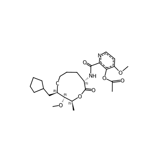 COc1ccnc(C(=O)N[C@H]2CCCC[C@H](CC3CCCC3)[C@@H](OC)[C@H](C)OC2=O)c1OC(C)=O